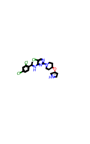 CC(Nc1nc(N2CCC(O[C@H]3CCNC3)CC2)ncc1Cl)c1ccc(Cl)cc1Cl